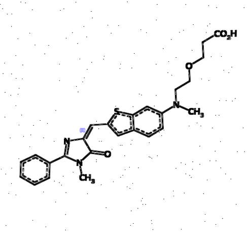 CN1C(=O)/C(=C\c2cc3ccc(N(C)CCOCCC(=O)O)cc3s2)N=C1c1ccccc1